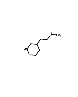 CNCCC1CC[N]NC1